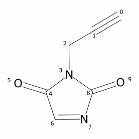 C#CCN1C(=O)C=NC1=O